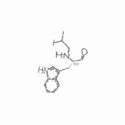 CC(I)CN[C@H](C=O)Cc1c[nH]c2ccccc12